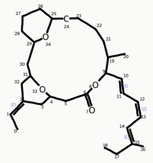 C/C=C1\CC2CC(=O)OC(/C=C/C=C\C=C(/C)CC)C(C)CCCCC3CCCC(CC(C1)O2)O3